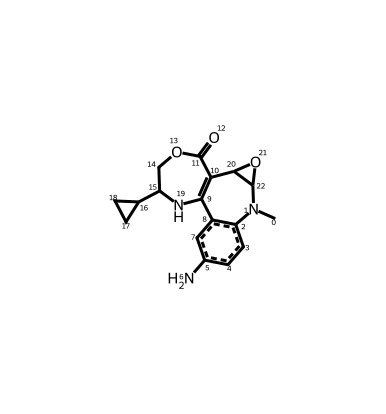 CN1c2ccc(N)cc2C2=C(C(=O)OCC(C3CC3)N2)C2OC21